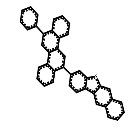 c1ccc(-c2cc3c4ccccc4c(-c4ccc5c(c4)sc4cc6ccccc6cc45)cc3c3ccccc23)cc1